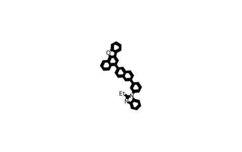 CCc1nc2ccccc2n1-c1cccc(-c2ccc3cc(-c4cc5c6ccccc6oc5c5ccccc45)ccc3c2)c1